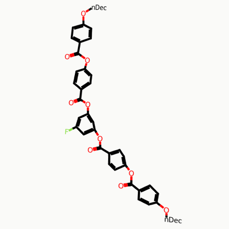 CCCCCCCCCCOc1ccc(C(=O)Oc2ccc(C(=O)Oc3cc(F)cc(OC(=O)c4ccc(OC(=O)c5ccc(OCCCCCCCCCC)cc5)cc4)c3)cc2)cc1